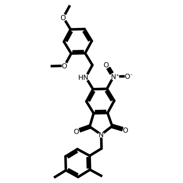 COc1ccc(CNc2cc3c(cc2[N+](=O)[O-])C(=O)N(Cc2ccc(C)cc2C)C3=O)c(OC)c1